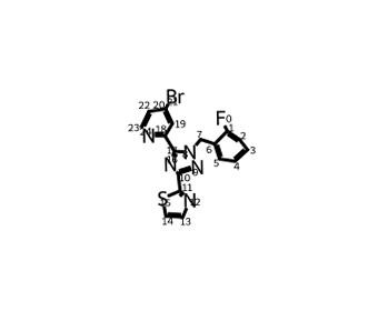 Fc1ccccc1Cn1nc(-c2nccs2)nc1-c1cc(Br)ccn1